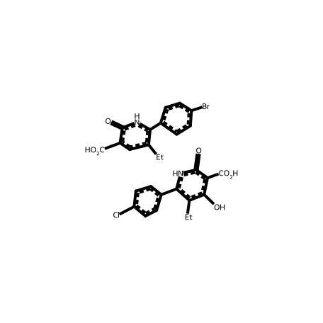 CCc1c(-c2ccc(Cl)cc2)[nH]c(=O)c(C(=O)O)c1O.CCc1cc(C(=O)O)c(=O)[nH]c1-c1ccc(Br)cc1